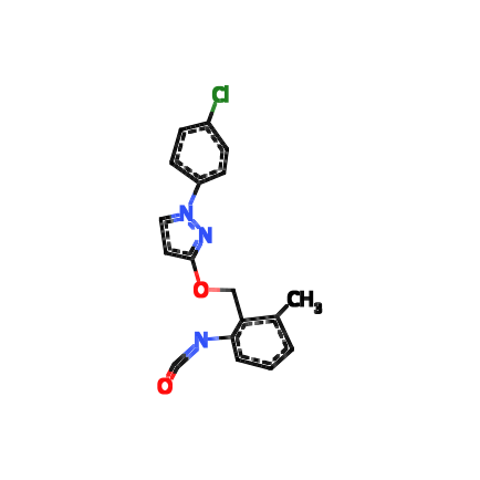 Cc1cccc(N=C=O)c1COc1ccn(-c2ccc(Cl)cc2)n1